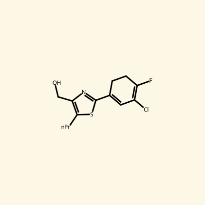 CCCc1sc(C2=CC(Cl)=C(F)CC2)nc1CO